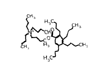 CCCC[N+](CCCC)(CCCC)CCCC.CCCCc1cc(C(=O)[O-])c(CCCC)c(CCCC)c1CCCC